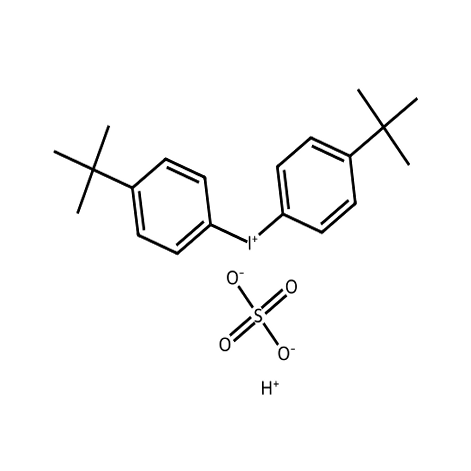 CC(C)(C)c1ccc([I+]c2ccc(C(C)(C)C)cc2)cc1.O=S(=O)([O-])[O-].[H+]